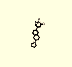 O=c1cc(-c2ccc3c(c2)CCC(N2CCCC2)C3)cn[nH]1